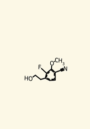 COc1c(C#N)ccc(CCO)c1F